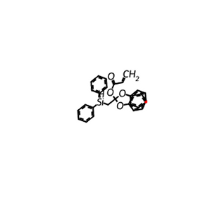 C=CC(=O)OC(C[SiH](c1ccccc1)c1ccccc1)(Oc1ccccc1)Oc1ccccc1